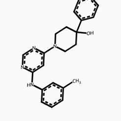 Cc1cccc(Nc2cc(N3CCC(O)(c4ccccc4)CC3)ncn2)c1